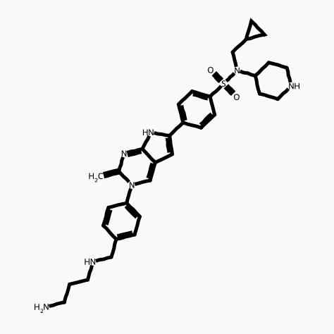 C=C1N=c2[nH]c(-c3ccc(S(=O)(=O)N(CC4CC4)C4CCNCC4)cc3)cc2=CN1c1ccc(CNCCCN)cc1